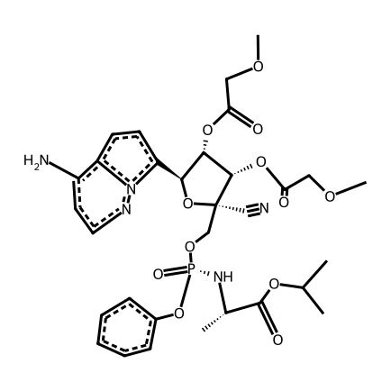 COCC(=O)O[C@H]1[C@H](c2ccc3c(N)ccnn23)O[C@](C#N)(CO[P@@](=O)(N[C@@H](C)C(=O)OC(C)C)Oc2ccccc2)[C@H]1OC(=O)COC